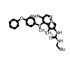 CCC(C)CNC(=O)Nc1cn2ncc(NC)c(N(C)c3ccc(Oc4ccccc4)cc3)c2c1C